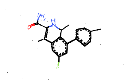 CC1=C(C(N)=O)NC(C)c2c1cc(F)cc2-c1ccc(C)cc1